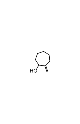 C=C1CCCCCC1O